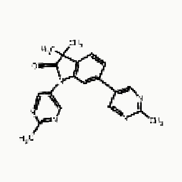 Cc1ncc(-c2ccc3c(c2)N(c2cnc(C)nc2)C(=O)C3(C)C)cn1